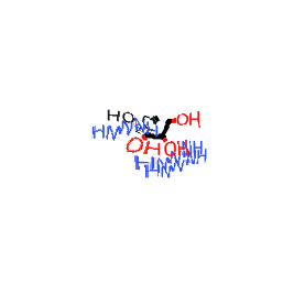 CC(=O)O.N=[N+]=N.N=[N+]=N.N=[N+]=N.OCC(O)CO